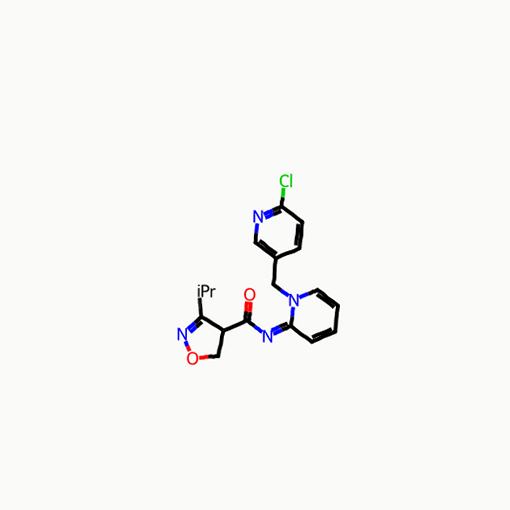 CC(C)C1=NOCC1C(=O)N=c1ccccn1Cc1ccc(Cl)nc1